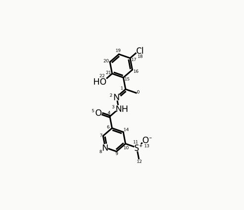 C/C(=N\NC(=O)c1cncc([S+](C)[O-])c1)c1cc(Cl)ccc1O